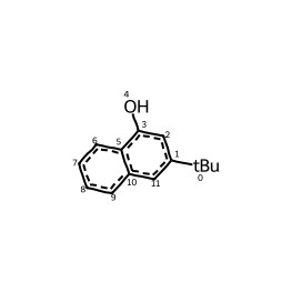 CC(C)(C)c1cc(O)c2ccccc2c1